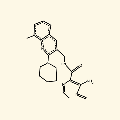 C=N/C(N)=C(\N=C/C)C(=O)NCc1cc2cccc(C)c2nc1N1CCCCC1